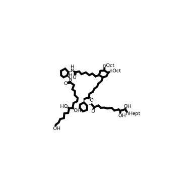 CCCCCCCCC1CC(CCCCCCC(=O)C[C@@H]2CCCC[C@H]2CC(=O)CCCCCCCC(O)C(O)CCCCCCC)C(CCCCCCC(=O)N[C@H]2CCCC[C@@H]2NC(=O)CCCCCCCC(O)C(O)CCCCCCO)CC1CCCCCCCC